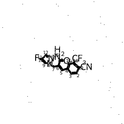 N#Cc1ccc(C=C(Cn2cc(F)cn2)C(N)=O)cc1C(F)(F)F